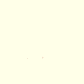 CC(C)CN(Cc1ccccc1)Cc1ccccc1